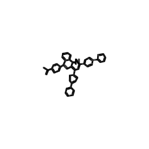 C=C(C)c1ccc(-c2cc3c(-c4ccc(-c5ccccc5)cc4)cc(-c4ccc(-c5ccccc5)cc4)nc3c3ccccc23)cc1